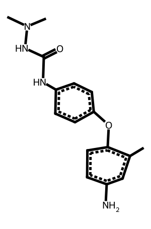 Cc1cc(N)ccc1Oc1ccc(NC(=O)NN(C)C)cc1